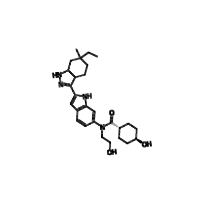 CCC1(C)CCC2C(c3cc4ccc(N(CCO)C(=O)[C@H]5CC[C@H](O)CC5)cc4[nH]3)=NNC2C1